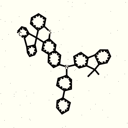 CC1(C)c2ccccc2-c2ccc(N(c3ccc(-c4ccccc4)cc3)c3ccc4cc5c(cc4c3)Sc3ccccc3C53c4ccccc4-c4ccccc43)cc21